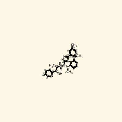 COc1cccc(OC)c1-n1c(NS(=O)(=O)[C@H](C)[C@@H](O)c2ccc(F)cn2)nnc1-c1cncc(C)c1